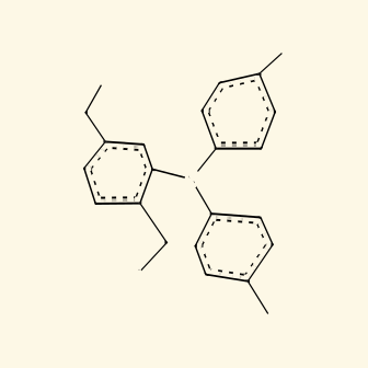 Cc1ccc(N(c2ccc(C)cc2)c2cc(CCl)ccc2CCl)cc1